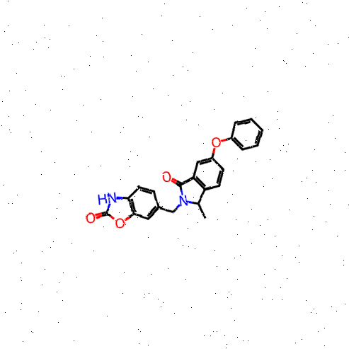 CC1c2ccc(Oc3ccccc3)cc2C(=O)N1Cc1ccc2[nH]c(=O)oc2c1